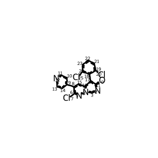 O=c1ncn2nc(Cl)c(-c3ccncc3)cc2c1-c1c(Cl)cccc1Cl